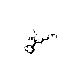 COCCC[C@H](NSI)c1cccnc1